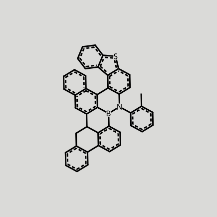 Cc1ccccc1N1B2c3cccc4c3C(Cc3ccccc3-4)c3cc4ccccc4c(c32)-c2c1ccc1sc3ccccc3c21